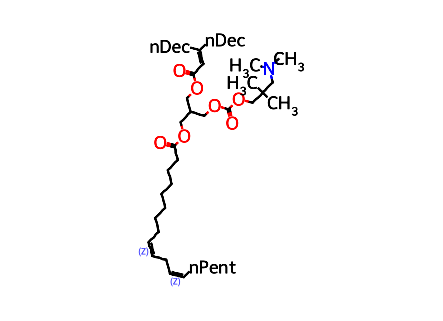 CCCCC/C=C\C/C=C\CCCCCCCC(=O)OCC(COC(=O)C=C(CCCCCCCCCC)CCCCCCCCCC)COC(=O)OCC(C)(C)CN(C)C